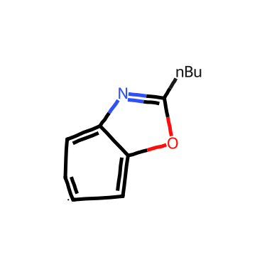 CCCCc1nc2cc[c]cc2o1